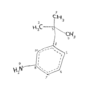 CC(C)(C)c1cc[c]c(N)c1